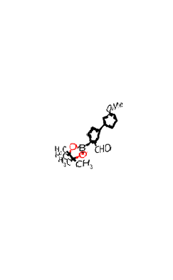 COc1cccc(-c2ccc(B3OC(C)(C)C(C)(C)O3)c(C=O)c2)c1